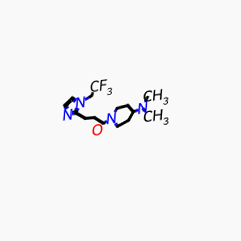 CN(C)C1CCN(C(=O)CCc2nccn2CC(F)(F)F)CC1